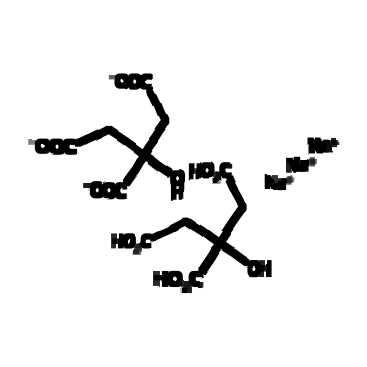 O=C(O)CC(O)(CC(=O)O)C(=O)O.O=C([O-])CC(O)(CC(=O)[O-])C(=O)[O-].[Na+].[Na+].[Na+]